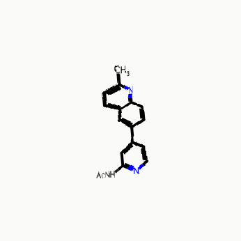 CC(=O)Nc1cc(-c2ccc3nc(C)ccc3c2)ccn1